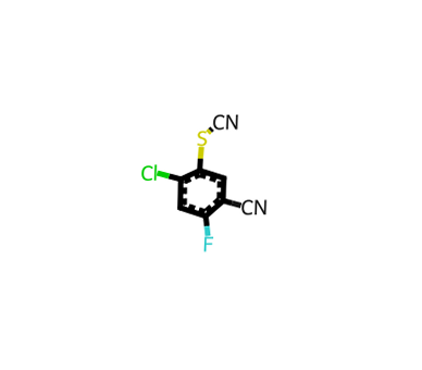 N#CSc1cc(C#N)c(F)cc1Cl